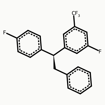 Fc1ccc([C@H](Cc2ccccc2)c2cc(F)cc(C(F)(F)F)c2)cc1